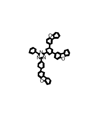 C1=CC(c2ccc3oc4ccccc4c3c2)CC=C1c1nc(C2=CC(c3ccc4oc5ccccc5c4c3)=CC(c3ccc4oc5ccccc5c4c3)C2)nc(-c2ccccc2)n1